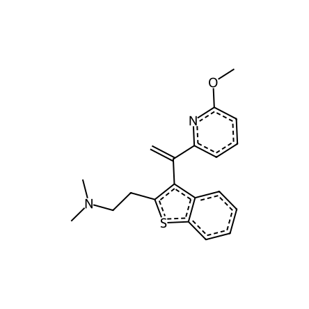 C=C(c1cccc(OC)n1)c1c(CCN(C)C)sc2ccccc12